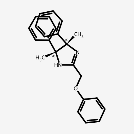 C[C@@]1(c2ccccc2)N=C(COc2ccccc2)N[C@]1(C)c1ccccc1